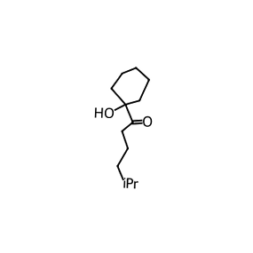 CC(C)CCCC(=O)C1(O)CCCCC1